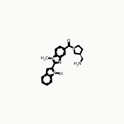 CCn1c(-c2nc3cc(C(=O)N4CC[C@@H](CN)C4)ccc3n2C)cc2ccccc21